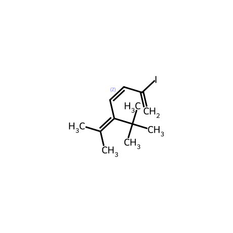 C=C(I)/C=C\C(=C(C)C)C(C)(C)C